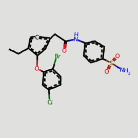 CCc1ccc(CC(=O)Nc2ccc(S(N)(=O)=O)cc2)cc1Oc1cc(Cl)ccc1Br